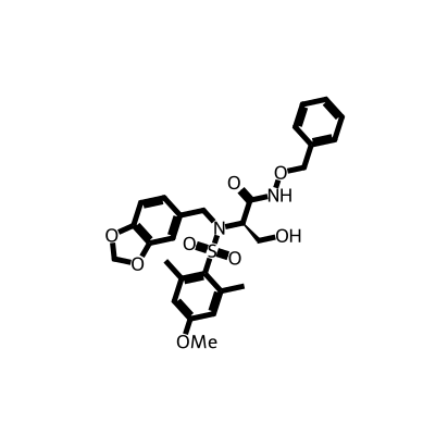 COc1cc(C)c(S(=O)(=O)N(Cc2ccc3c(c2)OCO3)[C@H](CO)C(=O)NOCc2ccccc2)c(C)c1